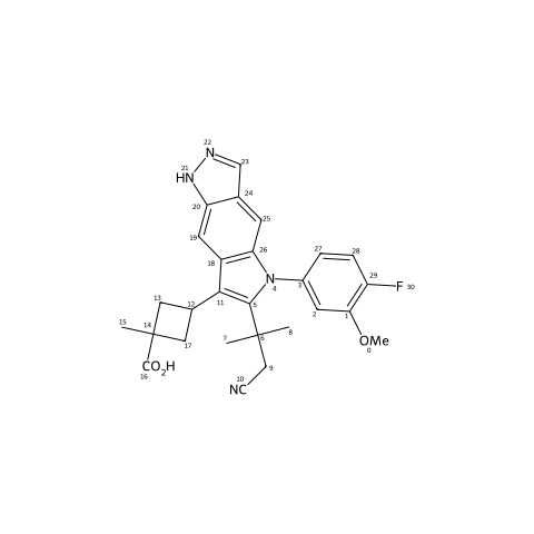 COc1cc(-n2c(C(C)(C)CC#N)c(C3CC(C)(C(=O)O)C3)c3cc4[nH]ncc4cc32)ccc1F